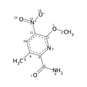 COc1nc(C(N)=O)c(C)cc1[N+](=O)[O-]